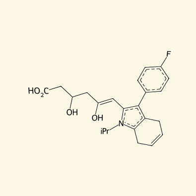 CC(C)n1c(C=C(O)CC(O)CC(=O)O)c(-c2ccc(F)cc2)c2c1CC=CC2